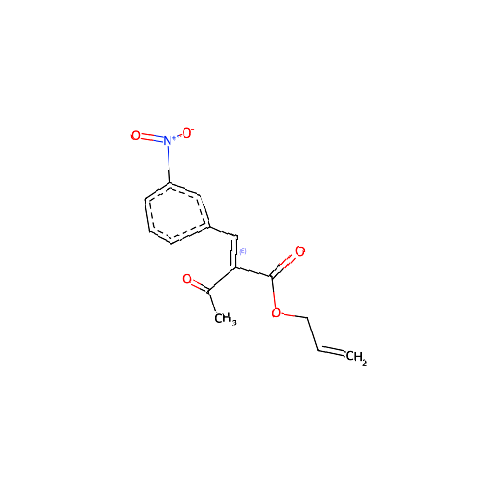 C=CCOC(=O)/C(=C/c1cccc([N+](=O)[O-])c1)C(C)=O